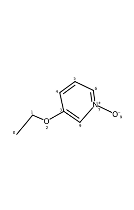 CCOc1ccc[n+]([O-])c1